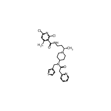 Cc1cc(Cl)nc(Cl)c1C(=O)NCC[C@@H](C)N1CCC(N(Cc2ccsc2)C(=O)Cc2ccccn2)CC1